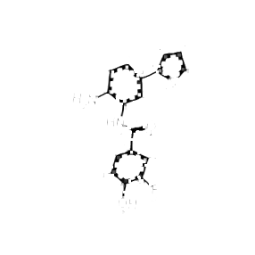 Nc1ccc(-c2cccs2)cc1NC(=O)c1ccc(O)c(F)c1